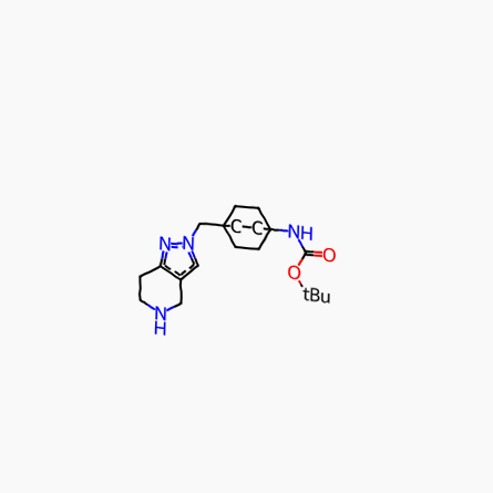 CC(C)(C)OC(=O)NC12CCC(Cn3cc4c(n3)CCNC4)(CC1)CC2